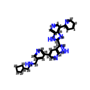 c1ccc(-c2cncc3[nH]c(-c4n[nH]c5ncc(-c6cncc(CNCC7CCCC7)c6)cc45)nc23)nc1